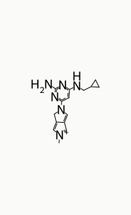 C[N+]1=CC2=CN(c3cc(NCC4CC4)nc(N)n3)CC2=C1